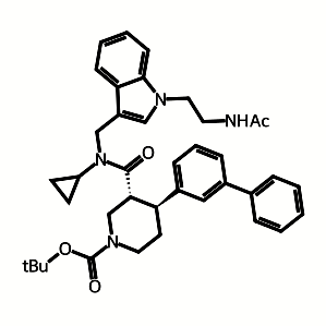 CC(=O)NCCn1cc(CN(C(=O)[C@H]2CN(C(=O)OC(C)(C)C)CC[C@@H]2c2cccc(-c3ccccc3)c2)C2CC2)c2ccccc21